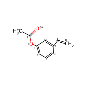 C=[C]c1cccc(OC(C)=O)c1